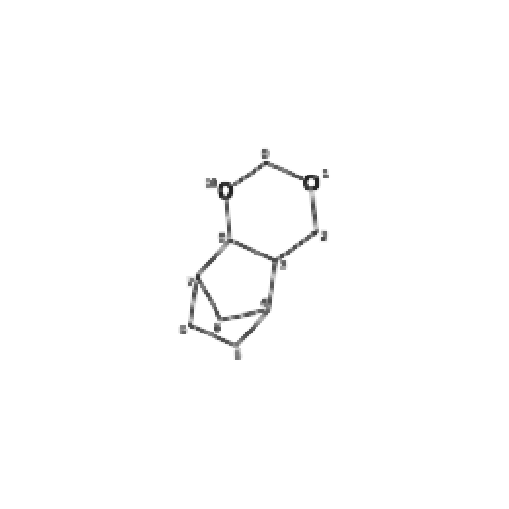 C1OCC2C3CCC(C3)C2O1